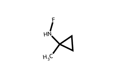 CC1(NF)CC1